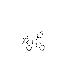 CCc1cc(-c2cc(C)ccc2C(=O)N2Cc3ccccc3CC2CN2CCOCC2)n(C)c1C